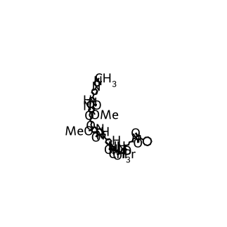 COc1cc2c(cc1OCCCOc1cc3c(cc1OC)C(=O)N1C=C(c4ccc(N5CCN(C)CC5)cc4)C[C@H]1C=N3)N=C[C@@H]1CC(c3ccc(NC(=O)[C@H](C)NC(=O)C(NC(=O)CCCCCN4C(=O)CC(C5CCCCCCCC5)C4=O)C(C)C)cc3)=CN1C2=O